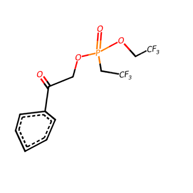 O=C(COP(=O)(CC(F)(F)F)OCC(F)(F)F)c1ccccc1